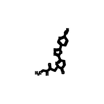 CCNC(=O)Cn1nc(-c2nnc(-c3ccc(C#N)nc3)o2)ccc1=O